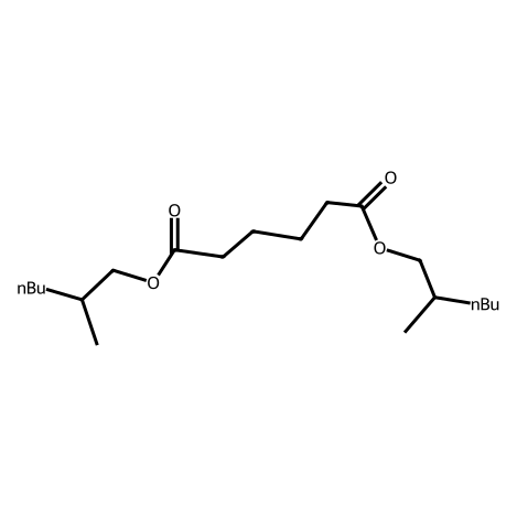 CCCCC(C)COC(=O)CCCCC(=O)OCC(C)CCCC